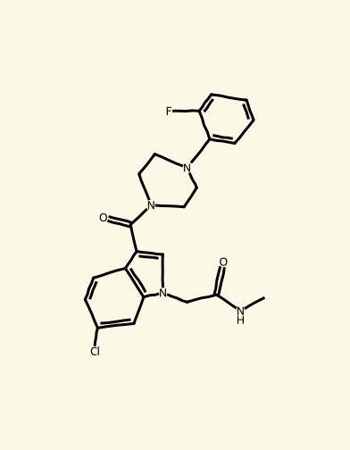 CNC(=O)Cn1cc(C(=O)N2CCN(c3ccccc3F)CC2)c2ccc(Cl)cc21